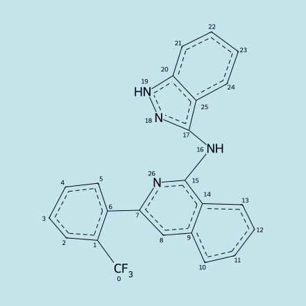 FC(F)(F)c1ccccc1-c1cc2ccccc2c(Nc2n[nH]c3ccccc23)n1